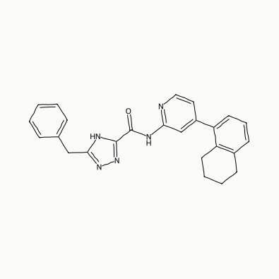 O=C(Nc1cc(-c2cccc3c2CCCC3)ccn1)c1nnc(Cc2ccccc2)[nH]1